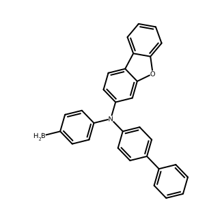 Bc1ccc(N(c2ccc(-c3ccccc3)cc2)c2ccc3c(c2)oc2ccccc23)cc1